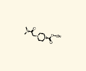 CN(C)C(=O)CN1CCN(C(=O)OC(C)(C)C)CC1